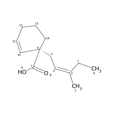 CCC(C)=CC[C@]1(C(=O)O)C=CCCC1